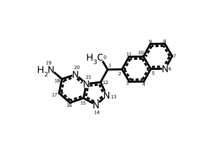 CC(c1ccc2ncccc2c1)c1nnc2ccc(N)nn12